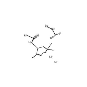 CCC(=O)NC1CC(C)(C)CCC1C.CCC(=O)[NH][Ti+2].[Cl-].[Cl-]